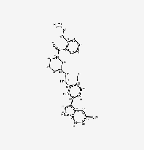 CCOc1ccccc1C(=O)N1CCCC(CNc2nc(-c3c[nH]c4ncc(Cl)cc34)ncc2F)C1